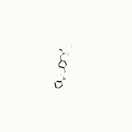 NC(Cc1ccc(CNC(=O)c2ccccc2)cc1)C(=O)O